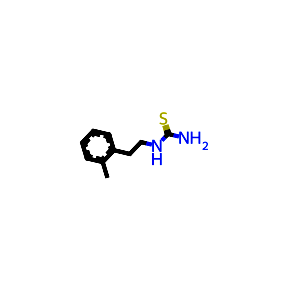 Cc1ccccc1CCNC(N)=S